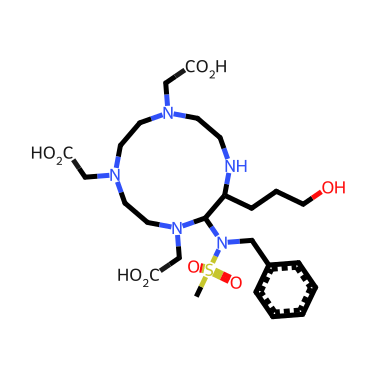 CS(=O)(=O)N(Cc1ccccc1)C1C(CCCO)NCCN(CC(=O)O)CCN(CC(=O)O)CCN1CC(=O)O